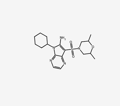 CC1CN(S(=O)(=O)c2c(N)n(C3CCCCC3)c3nccnc23)CC(C)O1